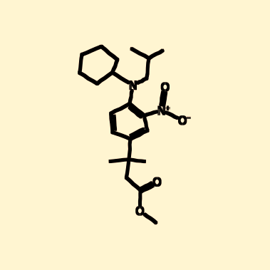 COC(=O)CC(C)(C)c1ccc(N(CC(C)C)C2CCCCC2)c([N+](=O)[O-])c1